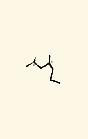 CCC[C@H](C)C[C@@H](C)F